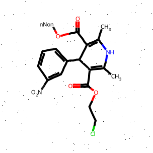 CCCCCCCCCOC(=O)C1=C(C)NC(C)=C(C(=O)OCCCl)C1c1cccc([N+](=O)[O-])c1